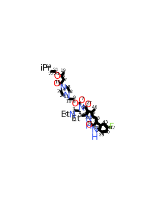 CCN(CC)CCN(C(=O)OCCN1CCN(C(=O)CC(C)OCCC(C)C)CC1)C(=O)c1c(C)[nH]c(/C=C2\C(=O)Nc3ccc(F)cc32)c1C